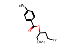 CCCc1ccc(C(=O)OC(CCC(C)C)COC)cc1